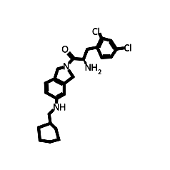 N[C@H](Cc1ccc(Cl)cc1Cl)C(=O)N1Cc2ccc(NCC3CCCCC3)cc2C1